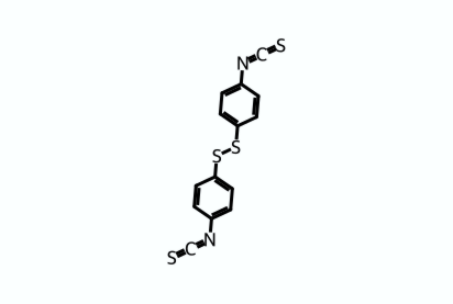 S=C=Nc1ccc(SSc2ccc(N=C=S)cc2)cc1